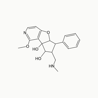 CNCC1C(c2ccccc2)C2Oc3ccnc(OC)c3C2(O)C1O